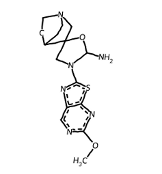 COc1ncc2nc(N3CC4(CN5CCC4CC5)OC3N)sc2n1